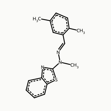 Cc1ccc(C)c(/C=N/N(C)c2nc3ccccc3s2)c1